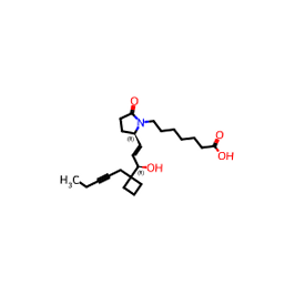 CCC#CCC1([C@H](O)C=C[C@H]2CCC(=O)N2CCCCCCC(=O)O)CCC1